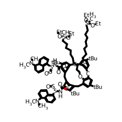 CCO[Si](C)(CCCCCCCCCCOc1c2cc(C(C)(C)C)cc1Cc1c(C(C)(C)C)ccc(c1OC(=O)NS(=S=O)c1cccc3c(N(C)C)cccc13)Cc1cc(C(C)(C)C)cc(c1OC(=O)NS(=S=O)c1cccc3c(N(C)C)cccc13)Cc1cc(C(C)(C)C)cc(c1OCCCCCCCCC[Si](C)(OCC)OCC)C2)OCC